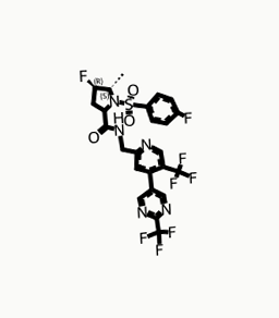 C[C@H]1[C@H](F)CC(C(=O)NCc2cc(-c3cnc(C(F)(F)F)nc3)c(C(F)(F)F)cn2)N1S(=O)(=O)c1ccc(F)cc1